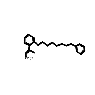 CCOC(=O)C=C(F)c1ccccc1CCCCCCCCc1ccccc1